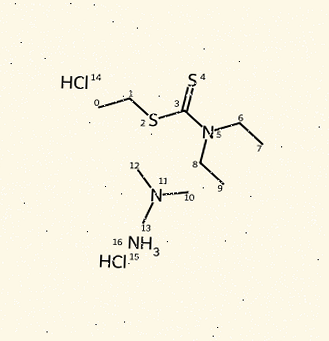 CCSC(=S)N(CC)CC.CN(C)C.Cl.Cl.N